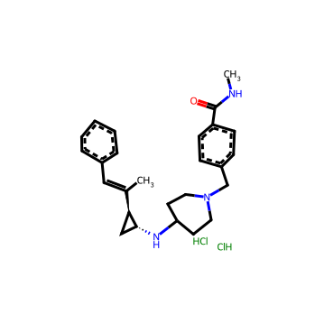 CNC(=O)c1ccc(CN2CCC(N[C@@H]3C[C@H]3/C(C)=C/c3ccccc3)CC2)cc1.Cl.Cl